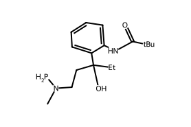 CCC(O)(CCN(C)P)c1ccccc1NC(=O)C(C)(C)C